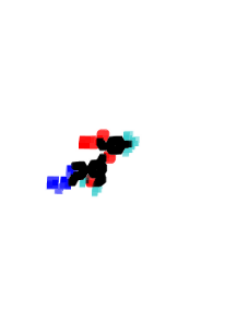 NCc1nccc(-c2cc(COc3cc(C(F)(F)F)ccc3CC(=O)O)cc3cc(F)oc23)c1F